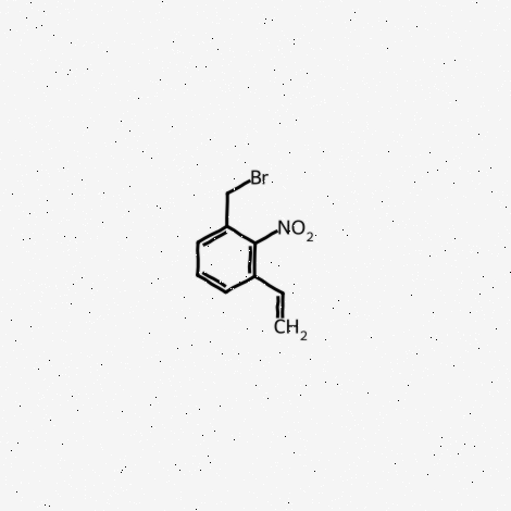 C=Cc1cccc(CBr)c1[N+](=O)[O-]